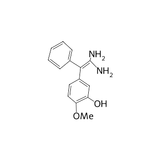 COc1ccc(C(=C(N)N)c2ccccc2)cc1O